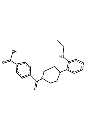 CCNc1cccnc1N1CCN(C(=O)c2ccc(C(=O)O)cc2)CC1